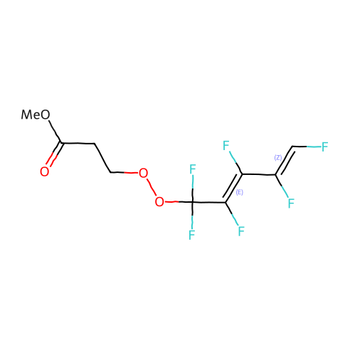 COC(=O)CCOOC(F)(F)/C(F)=C(F)/C(F)=C/F